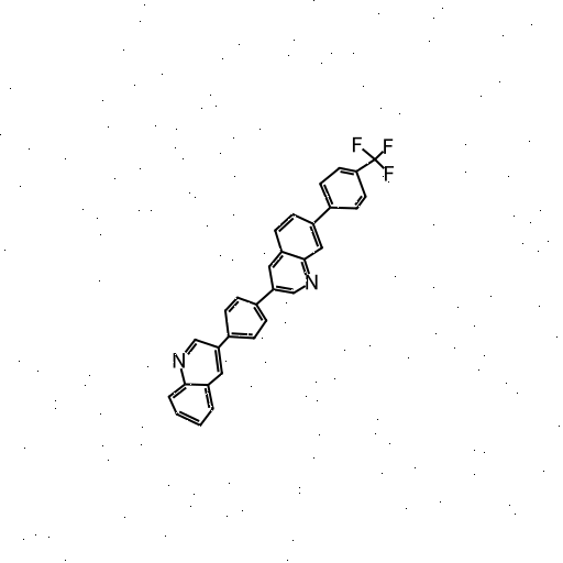 FC(F)(F)c1ccc(-c2ccc3cc(-c4ccc(-c5cnc6ccccc6c5)cc4)cnc3c2)cc1